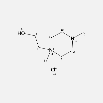 CN1CC[N+](C)(CCO)CC1.[Cl-]